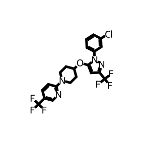 FC(F)(F)c1ccc(N2CCC(Oc3cc(C(F)(F)F)nn3-c3cccc(Cl)c3)CC2)nc1